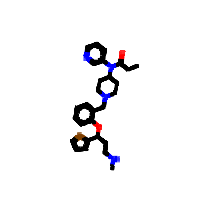 CCC(=O)N(c1cccnc1)C1CCN(Cc2ccccc2OC(CCNC)c2cccs2)CC1